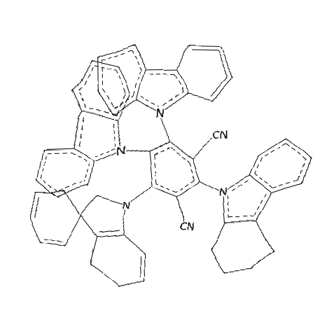 N#Cc1c(N2CC3(C=CC=CC3)C3=C2C=CCC3)c(-n2c3ccccc3c3ccccc32)c(-n2c3c(c4ccccc42)C=C=C=C3)c(C#N)c1-n1c2c(c3ccccc31)CCCC2